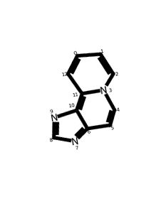 c1ccn2ccc3ncnc-3c2c1